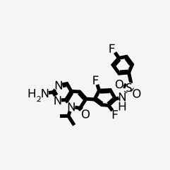 CC(C)n1c(=O)c(-c2cc(F)c(NS(=O)(=O)Cc3ccc(F)cc3)cc2F)cc2cnc(N)nc21